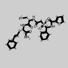 CC(C)C[C@H](NC(=O)CP(=O)(O)C(NC(=O)c1ccco1)c1ccccc1)C(=O)N[C@@H](C/C=C/c1ccccc1)C(N)=O